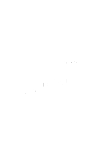 CC(=O)O.CCCCCCCCCCCCCOO